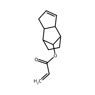 C=CC(=O)OC1C2CCC1C1CC=CC12